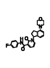 O=C(Nc1ccc(F)cc1)c1cccn(C2CCc3c2cccc3N2CCOCC2)c1=O